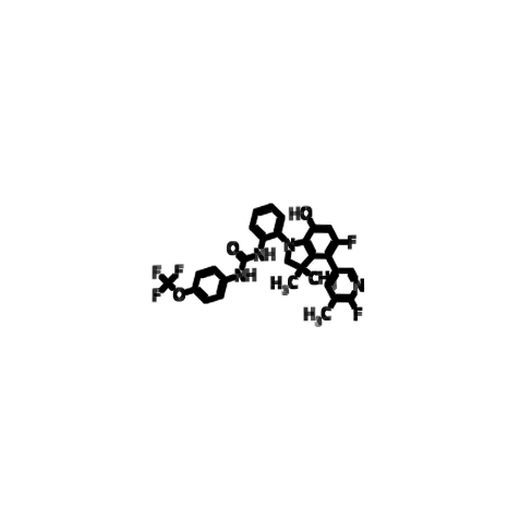 Cc1cc(-c2c(F)cc(O)c3c2C(C)(C)CN3c2ccccc2NC(=O)Nc2ccc(OC(F)(F)F)cc2)cnc1F